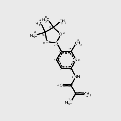 C=C(C)C(=O)Nc1ccc(B2OC(C)(C)C(C)(C)O2)c(C)n1